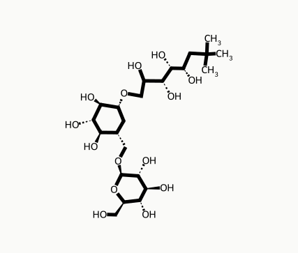 CC(C)(C)C[C@H](O)[C@@H](O)[C@H](O)C(O)CO[C@@H]1C[C@H](CO[C@@H]2O[C@H](CO)[C@@H](O)[C@H](O)[C@H]2O)[C@@H](O)[C@H](O)[C@H]1O